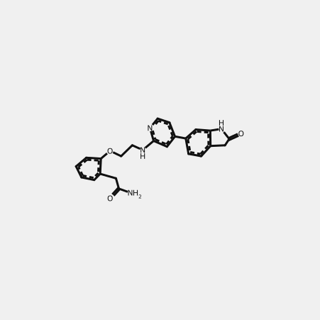 NC(=O)Cc1ccccc1OCCNc1cc(-c2ccc3c(c2)NC(=O)C3)ccn1